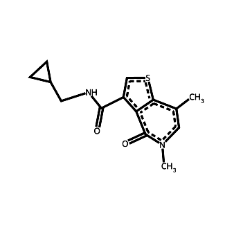 Cc1cn(C)c(=O)c2c(C(=O)NCC3CC3)csc12